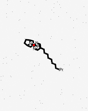 CC(C)CCCCCCCCc1cnc(N2C3CCC2CN(C(C)C)C3)nc1